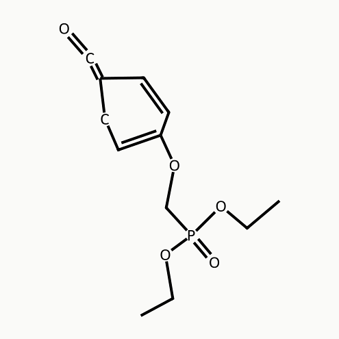 CCOP(=O)(COC1=CCC(=C=O)C=C1)OCC